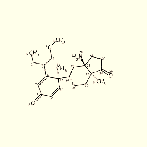 CC[C@H](COC)C1=CC(=O)C=C[C@]1(C)[C@H]1CC[C@]2(C)C(=O)CC[C@@]2(N)C1